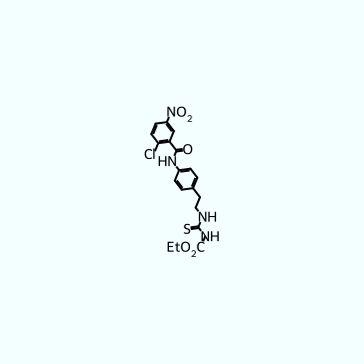 CCOC(=O)NC(=S)NCCc1ccc(NC(=O)c2cc([N+](=O)[O-])ccc2Cl)cc1